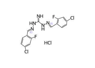 Cl.N=C(N/N=C/c1ccc(Cl)cc1F)N/N=C/c1ccc(Cl)cc1F